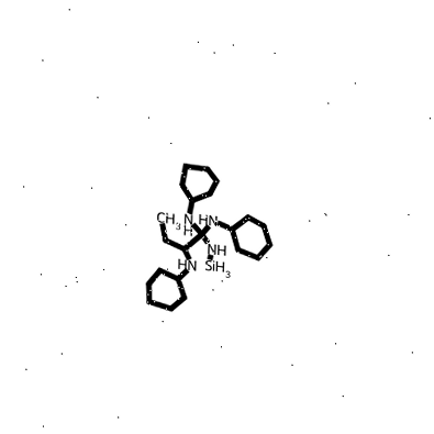 CCC(NC1CCCCC1)C(N[SiH3])(NC1CCCCC1)NC1CCCCC1